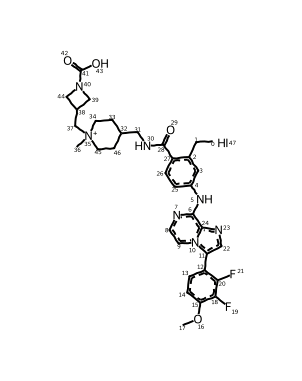 CCc1cc(Nc2nccn3c(-c4ccc(OC)c(F)c4F)cnc23)ccc1C(=O)NCC1CC[N+](C)(CC2CN(C(=O)O)C2)CC1.I